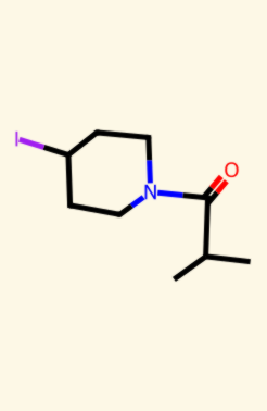 CC(C)C(=O)N1CCC(I)CC1